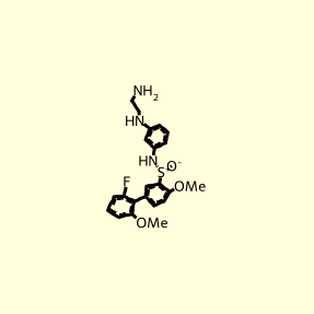 COc1ccc(-c2c(F)cccc2OC)cc1[S+]([O-])Nc1cccc(NCCN)c1